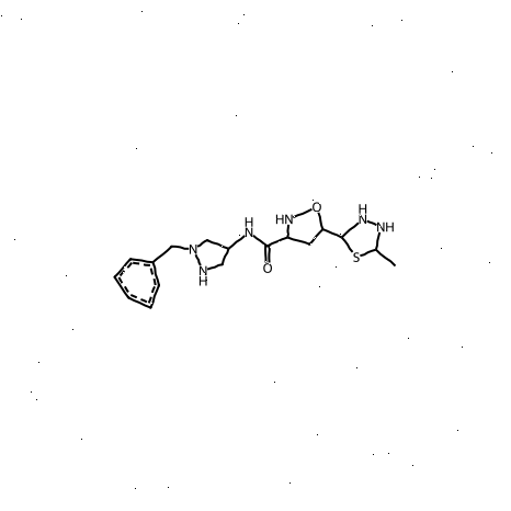 CC1NNC(C2CC(C(=O)NC3CNN(Cc4ccccc4)C3)NO2)S1